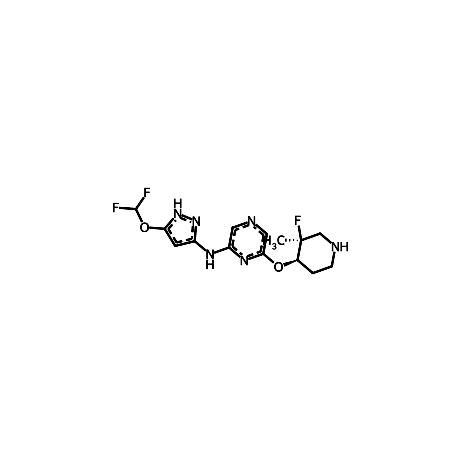 C[C@]1(F)CNCC[C@H]1Oc1cncc(Nc2cc(OC(F)F)[nH]n2)n1